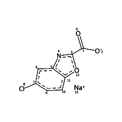 O=C([O-])c1nc2cc(Cl)ccc2o1.[Na+]